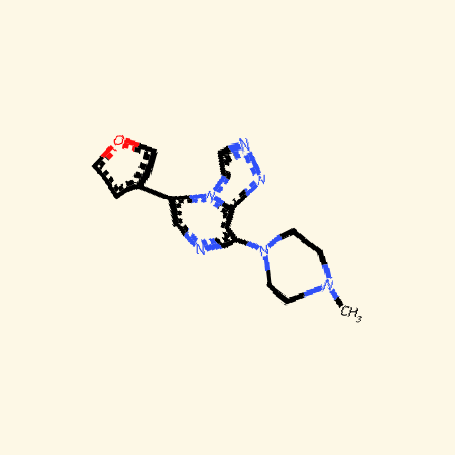 CN1CCN(c2ncc(-c3ccoc3)n3cnnc23)CC1